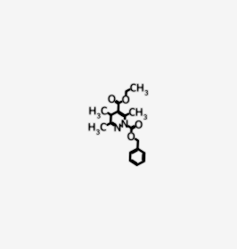 CCOC(=O)C1=C(C)N(C(=O)OCc2ccccc2)N=C(C)C1C